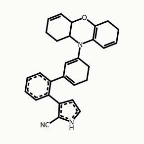 N#Cc1[nH]ccc1-c1ccccc1C1=CCCC(N2C3=C(CCC=C3)OC3C=CCCC32)=C1